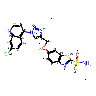 NS(=O)(=O)c1nc2ccc(OCc3cn(-c4ccnc5cc(Cl)ccc45)nn3)cc2s1